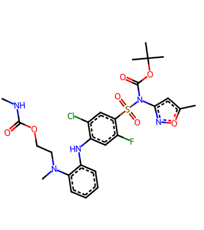 CNC(=O)OCCN(C)c1ccccc1Nc1cc(F)c(S(=O)(=O)N(C(=O)OC(C)(C)C)c2cc(C)on2)cc1Cl